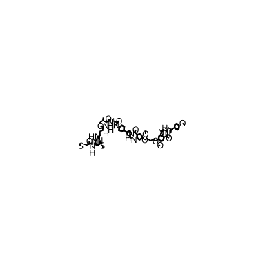 COc1ccc(C2=CN3C(=O)c4cc(OC)c(OCCCOc5cc6c(cc5OC)C(=O)N5C=C(c7ccc(NC(=O)[C@H](C)NC(=O)[C@@H](NC(=O)CCCNc8nc(NC(=O)CCSC)cc(SC)n8)C(C)C)cc7)C[C@H]5C=N6)cc4N=C[C@@H]3C2)cc1